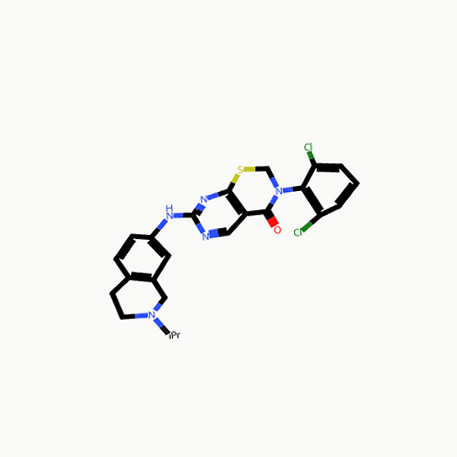 CC(C)N1CCc2ccc(Nc3ncc4c(n3)SCN(c3c(Cl)cccc3Cl)C4=O)cc2C1